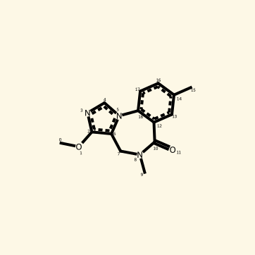 COc1ncn2c1CN(C)C(=O)c1cc(C)ccc1-2